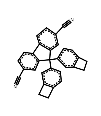 N#Cc1ccc2c(c1)C(c1ccc3c(c1)CC3)(c1ccc3c(c1)CC3)c1cc(C#N)ccc1-2